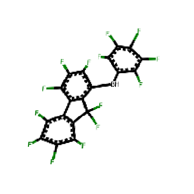 Fc1c(F)c(F)c(Bc2c(F)c(F)c(F)c3c2C(F)(F)c2c(F)c(F)c(F)c(F)c2-3)c(F)c1F